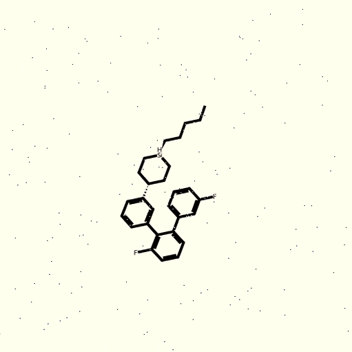 CCCCC[Si@H]1CC[C@H](c2cccc(-c3c(F)cccc3-c3cccc(F)c3)c2)CC1